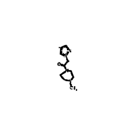 CN1CCN(C(=O)Cn2c[c]cn2)CC1